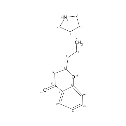 C1CCNC1.CCCC1CC(=O)c2ccccc2O1